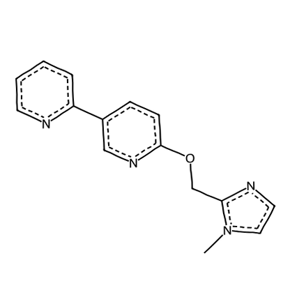 Cn1ccnc1COc1ccc(-c2ccccn2)cn1